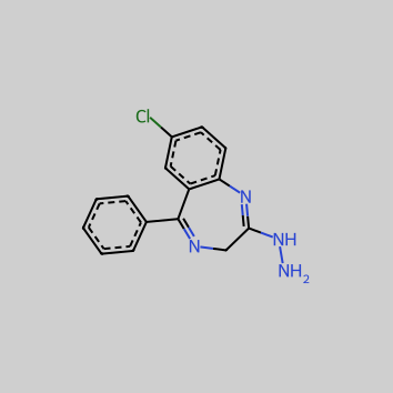 NNC1=Nc2ccc(Cl)cc2C(c2ccccc2)=NC1